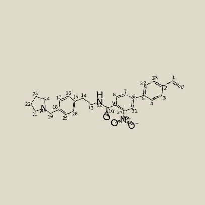 C=Cc1ccc(-c2ccc(C(=O)NCCc3ccc(CN4CCCC4)cc3)c([N+](=O)[O-])c2)cc1